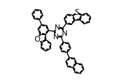 c1ccc(-c2cc(-c3nc(-c4ccc(-c5ccc6ccccc6c5)cc4)nc(-c4ccc5sc6ccccc6c5c4)n3)c3c(c2)oc2ccccc23)cc1